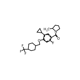 CC1CCCN1C(=O)c1cc(C2CC2)c(OCC2CCC(C(F)(F)F)CC2)cc1F